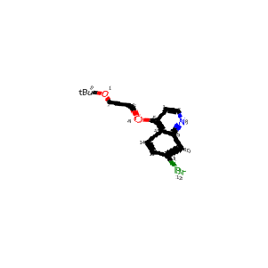 CC(C)(C)OCCOc1ccnc2cc(Br)ccc12